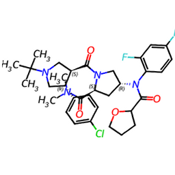 CN(C)C(=O)[C@@H]1C[C@@H](N(C(=O)C2CCCO2)c2ccc(F)cc2F)CN1C(=O)[C@@H]1CN(C(C)(C)C)C[C@H]1c1ccc(Cl)cc1